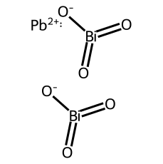 [O]=[Bi](=[O])[O-].[O]=[Bi](=[O])[O-].[Pb+2]